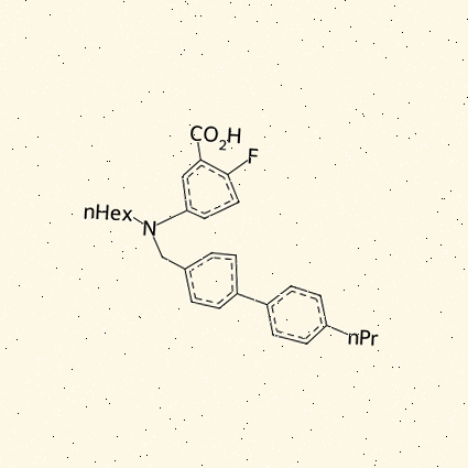 CCCCCCN(Cc1ccc(-c2ccc(CCC)cc2)cc1)c1ccc(F)c(C(=O)O)c1